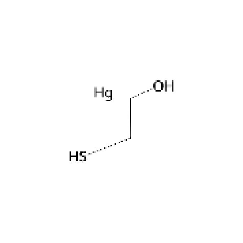 OCCS.[Hg]